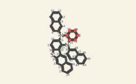 c1ccc(N(c2ccc3ccccc3c2)c2ccc3sc4cc5ccccc5cc4c3c2N(c2ccccc2)c2ccc3ccccc3c2)cc1